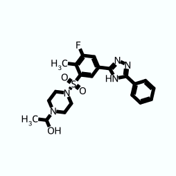 Cc1c(F)cc(-c2nnc(-c3ccccc3)[nH]2)cc1S(=O)(=O)N1CCN(C(C)O)CC1